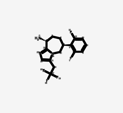 N[C@@H]1CC[C@@H](c2c(F)cccc2F)Cn2c(CC(F)(F)F)cnc21